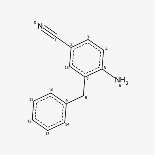 N#Cc1ccc(N)c(Cc2ccccc2)c1